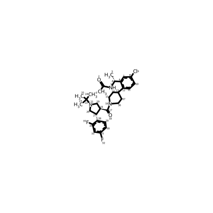 CC(=O)N[C@H](C)c1cc(Cl)ccc1C1CCN(C(=O)[C@@H]2CN(C(C)(C)C)C[C@H]2c2ccc(F)cc2F)CC1